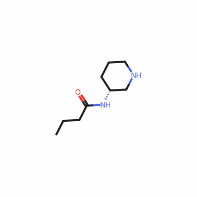 CCCC(=O)N[C@@H]1CCCNC1